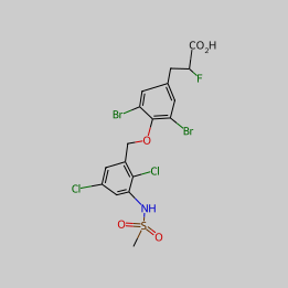 CS(=O)(=O)Nc1cc(Cl)cc(COc2c(Br)cc(CC(F)C(=O)O)cc2Br)c1Cl